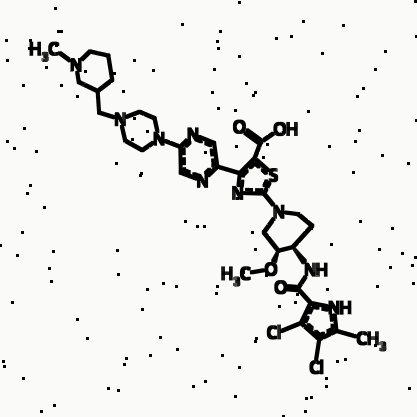 CO[C@H]1CN(c2nc(-c3cnc(N4CCN(CC5CCCN(C)C5)CC4)cn3)c(C(=O)O)s2)CC[C@H]1NC(=O)c1[nH]c(C)c(Cl)c1Cl